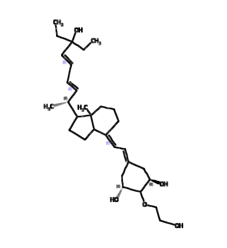 CCC(O)(/C=C/C=C/[C@@H](C)C1CCC2/C(=C/C=C3C[C@@H](O)C(OCCO)[C@H](O)C3)CCCC21C)CC